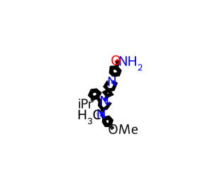 COc1ccc(N(C)C2CCN(C3CC4(CCN(c5ccc(C(N)=O)cc5)CC4)C3)C(c3ccccc3C(C)C)C2)cc1